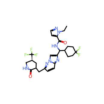 CCn1nccc1C(=O)NC(c1cn2nc(CC3C[C@H](C(F)(F)F)CNC3=O)ccc2n1)C1CCC(F)(F)CC1